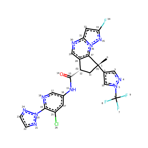 C[C@@]1(c2cnn(C(F)(F)F)c2)C[C@H](C(=O)Nc2cnc(-n3nccn3)c(Cl)c2)c2cnc3cc(F)nn3c21